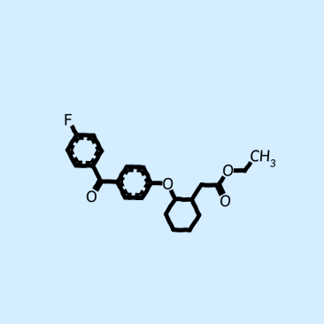 CCOC(=O)CC1CCCCC1Oc1ccc(C(=O)c2ccc(F)cc2)cc1